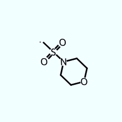 [CH2]S(=O)(=O)N1CCOCC1